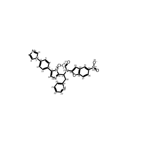 Cn1c(-c2ccc(-n3ccnc3)cc2)cnc1C(Cc1ccccn1)N(C=O)c1cc2cc([N+](=O)[O-])ccc2o1